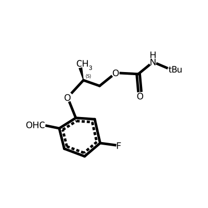 C[C@@H](COC(=O)NC(C)(C)C)Oc1cc(F)ccc1C=O